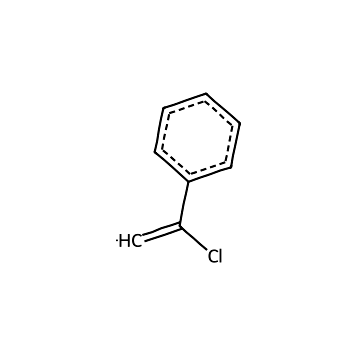 [CH]=C(Cl)c1ccccc1